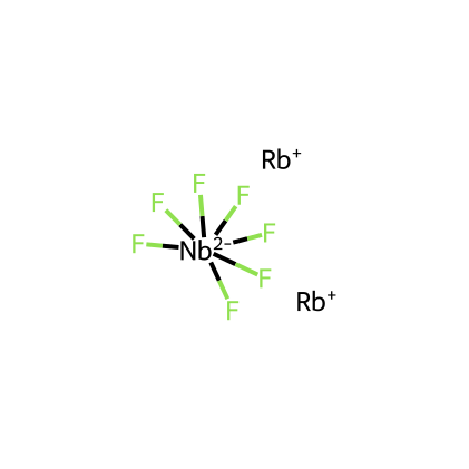 [F][Nb-2]([F])([F])([F])([F])([F])[F].[Rb+].[Rb+]